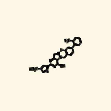 O=C(O)c1cnn(-c2nc(O)c3c(cnn3Cc3ccc(-c4ccccc4C(F)(F)F)cc3F)n2)c1